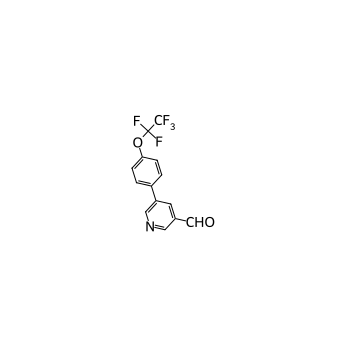 O=Cc1cncc(-c2ccc(OC(F)(F)C(F)(F)F)cc2)c1